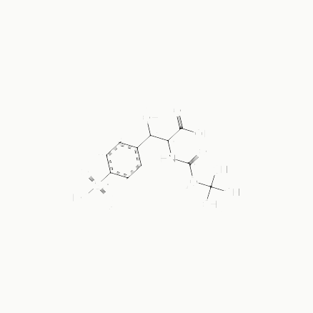 CC(C)(C)OC(=O)NC(C(=O)O)C(O)c1ccc(S(C)(=O)=O)cc1